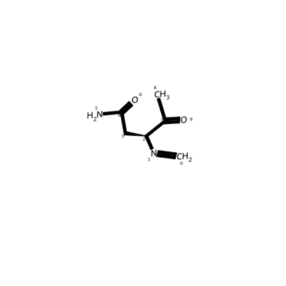 C=N[C@@H](CC(N)=O)C(C)=O